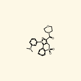 CN(C)c1cccc(-n2nc(C(=O)N3CCOCC3)c3c2-c2ccccc2S(=O)(=O)C3)c1